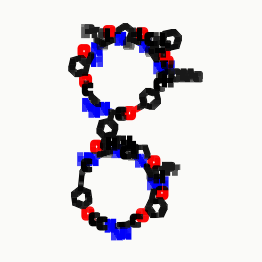 COC(=O)[C@@H]1Cc2ccc(cc2)OCC(c2ccc(C[C@H]3C(=O)NCCc4ccc(cc4)OCCn4cc(nn4)COc4ccccc4C(=O)N[C@H](CC(C)C)C(=O)N4CCC[C@@H]4CN3C)cc2)n2cc(nn2)COc2ccccc2C(=O)N[C@H](CC(C)C)C(=O)N2CCC[C@@H]2C(=O)N(C)[C@@H](Cc2ccccc2)C(=O)N1